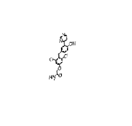 CNC(=O)COc1cc(Cl)c(Cc2ccc(O)c(-c3ccncn3)c2)c(Cl)c1